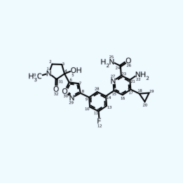 CN1CCC(O)(c2cc(-c3cc(F)cc(-c4cc(C5CC5)c(N)c(C(N)=O)n4)c3)no2)C1=O